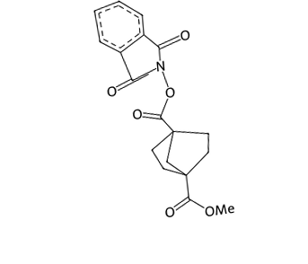 COC(=O)C12CCC(C(=O)ON3C(=O)c4ccccc4C3=O)(CC1)C2